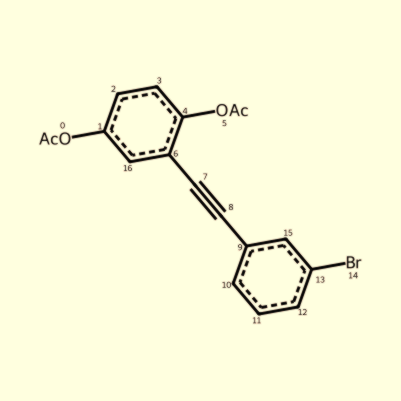 CC(=O)Oc1ccc(OC(C)=O)c(C#Cc2cccc(Br)c2)c1